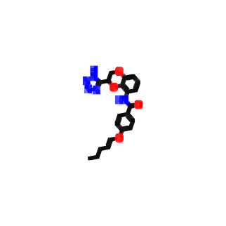 CCCC=COc1ccc(C(=O)Nc2cccc3c2OC(c2nnn[nH]2)CO3)cc1